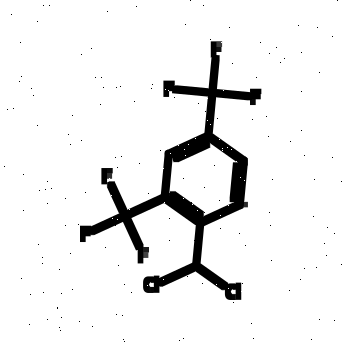 FC(F)(F)c1c[c]c(C(Cl)Cl)c(C(F)(F)F)c1